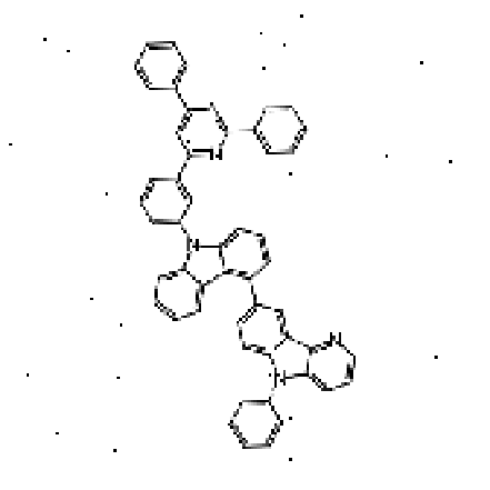 c1ccc(-c2cc(-c3cccc(-n4c5ccccc5c5c(-c6ccc7c(c6)c6ncccc6n7-c6ccccc6)cccc54)c3)nc(-c3ccccc3)n2)cc1